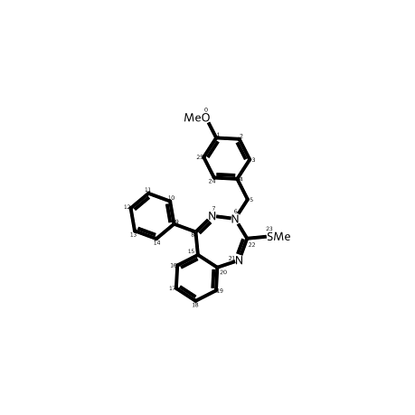 COc1ccc(CN2N=C(c3ccccc3)c3ccccc3N=C2SC)cc1